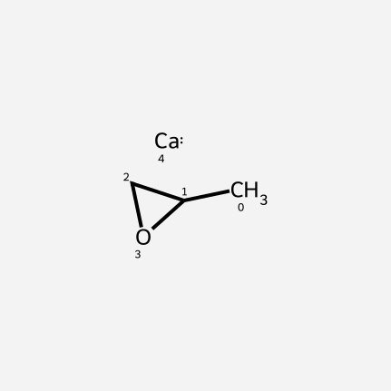 CC1CO1.[Ca]